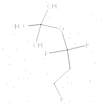 CC(C)(C)OC(F)(F)CCF